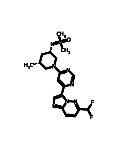 C[C@@H]1C[C@H](N=S(C)(C)=O)CN(c2cc(-c3cnc4ccc(C(F)F)nn34)ncn2)C1